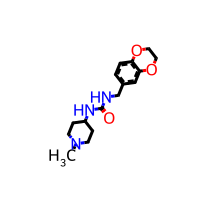 CN1CCC(NC(=O)NCc2ccc3c(c2)OCCO3)CC1